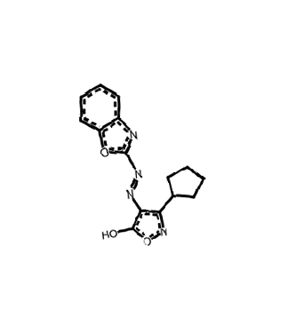 Oc1onc(C2CCCC2)c1N=Nc1nc2ccccc2o1